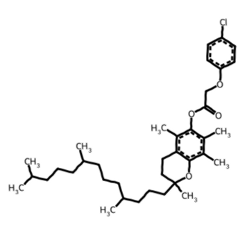 Cc1c(C)c2c(c(C)c1OC(=O)COc1ccc(Cl)cc1)CCC(C)(CCCC(C)CCCC(C)CCCC(C)C)O2